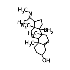 BC12CCC(/C(C)=N/C)C1(C)CCC1C3(C)CCC(O)CC3=CCC12C